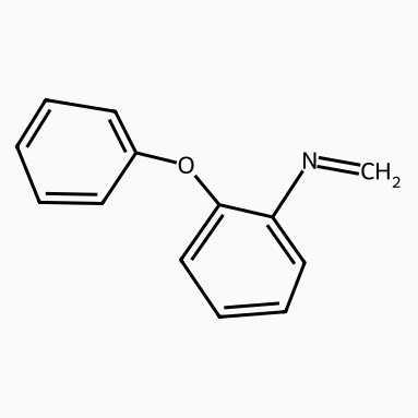 C=Nc1ccccc1Oc1ccccc1